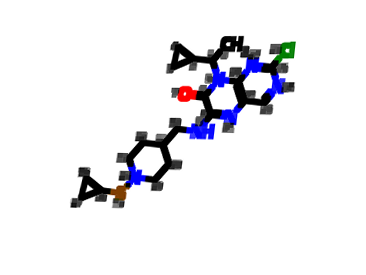 CC(C1CC1)n1c(=O)c(NCC2CCN(SC3CC3)CC2)nc2cnc(Cl)nc21